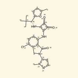 Cc1ccc([C@H](Nc2c(Nc3ccc(Cl)c4c3C(=O)N(c3ccnn3C)C4)c(=O)c2=O)C(C)(C)C)o1